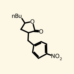 CCCCC1CC(Cc2ccc([N+](=O)[O-])cc2)C(=O)O1